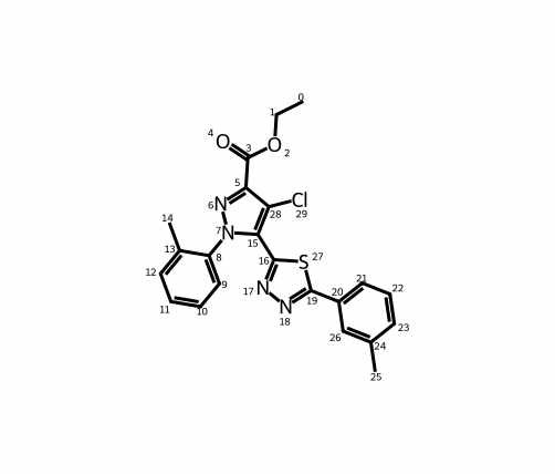 CCOC(=O)c1nn(-c2ccccc2C)c(-c2nnc(-c3cccc(C)c3)s2)c1Cl